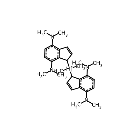 CN(C)c1ccc(N(C)C)c2c1C=C[CH]2[Hf]([CH3])([CH3])[CH]1C=Cc2c(N(C)C)ccc(N(C)C)c21